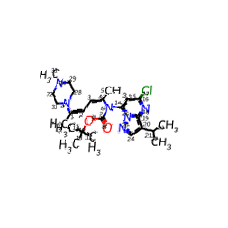 C/C(=C/C=C(/C)N(C(=O)OC(C)(C)C)c1cc(Cl)nc2c(C(C)C)cnn12)N1CCN(C)CC1